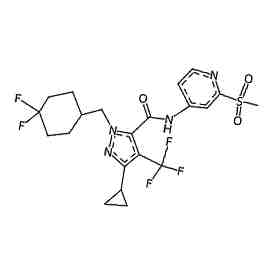 CS(=O)(=O)c1cc(NC(=O)c2c(C(F)(F)F)c(C3CC3)nn2CC2CCC(F)(F)CC2)ccn1